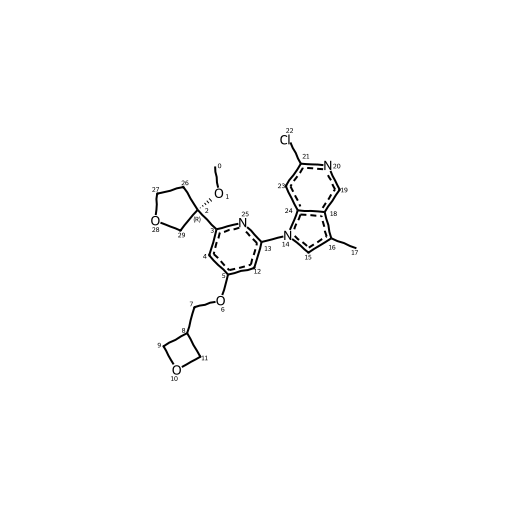 CO[C@@]1(c2cc(OCC3COC3)cc(-n3cc(C)c4cnc(Cl)cc43)n2)CCOC1